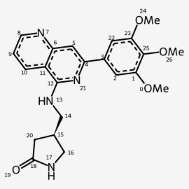 COc1cc(-c2cc3ncccc3c(NC[C@H]3CNC(=O)C3)n2)cc(OC)c1OC